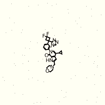 Cn1cnnc1C1(c2cccc(-n3cc(C4CC4)c4cc(CN5CCOCC5)[nH]c4c3=O)c2)CC(F)(F)C1